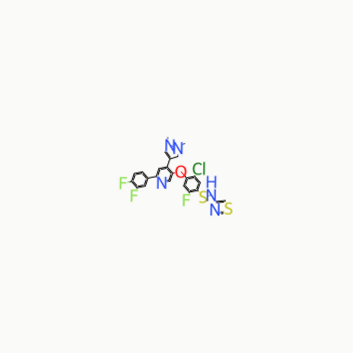 CN1C=C(c2cc(-c3ccc(F)c(F)c3)ncc2Oc2cc(F)c(SNc3cscn3)cc2Cl)CN1C